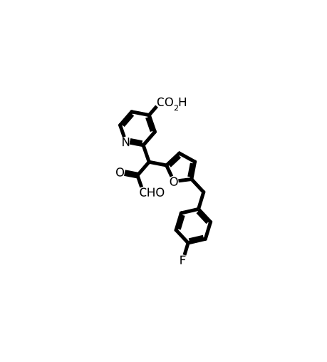 O=CC(=O)C(c1cc(C(=O)O)ccn1)c1ccc(Cc2ccc(F)cc2)o1